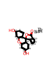 O=C1OC2(c3ccc(O)cc3Oc3cc(O)ccc32)c2ccccc21.[NaH].[Tb]